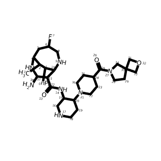 CCCC1C(C)C2CC(F)CNC1C(C(=O)NC1CNCCC1N1CCC(C(=O)N3CCC4(COC4)C3)CC1)C(N)N2